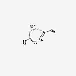 O=C([O-])/C=C\C(=O)O.[Rb+]